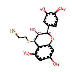 Oc1cc(O)c2c(c1)O[C@H](c1ccc(O)c(O)c1)[C@H](O)[C@H]2SCCS